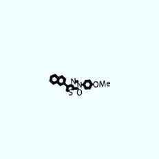 COc1ccc(-n2cnc3c(-c4ccc5ccccc5c4)csc3c2=O)cc1